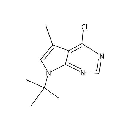 Cc1cn(C(C)(C)C)c2ncnc(Cl)c12